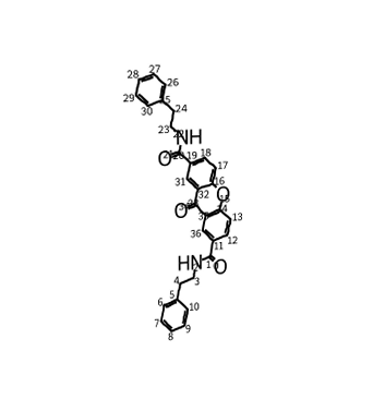 O=C(NCCc1ccccc1)c1ccc2oc3ccc(C(=O)NCCc4ccccc4)cc3c(=O)c2c1